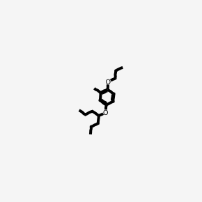 CCCOc1ccc(OC(CCC)CCC)cc1C